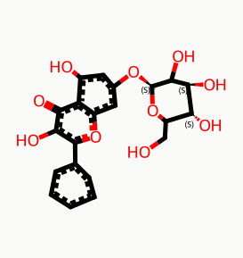 O=c1c(O)c(-c2ccccc2)oc2cc(O[C@@H]3OC(CO)[C@@H](O)[C@H](O)C3O)cc(O)c12